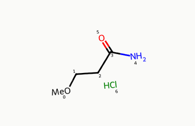 COCCC(N)=O.Cl